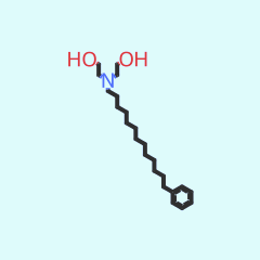 OCCN(CCO)CCCCCCCCCCCCCc1ccccc1